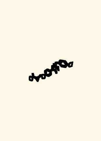 CC(=O)C1CC1COc1ccc(-c2cn(Cc3ccc(Cl)cc3)nc2C)cc1